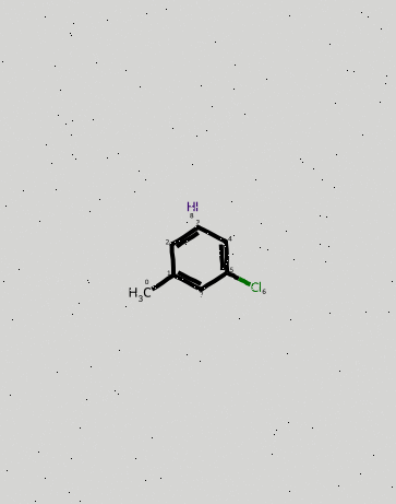 Cc1cccc(Cl)c1.I